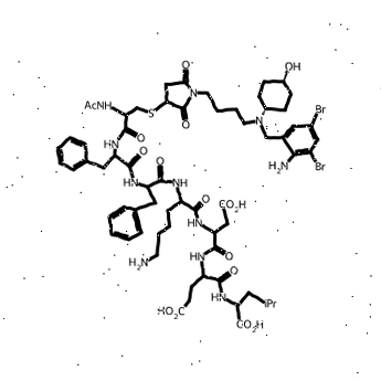 CC(=O)NC(CSC1CC(=O)N(CCCCN(Cc2cc(Br)cc(Br)c2N)[C@H]2CC[C@H](O)CC2)C1=O)C(=O)NC(Cc1ccccc1)C(=O)NC(Cc1ccccc1)C(=O)NC(CCCCN)C(=O)NC(CC(=O)O)C(=O)NC(CCC(=O)O)C(=O)NC(CC(C)C)C(=O)O